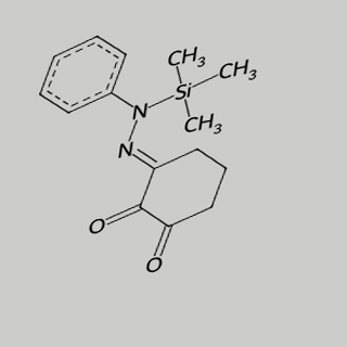 C[Si](C)(C)N(N=C1CCCC(=O)C1=O)c1ccccc1